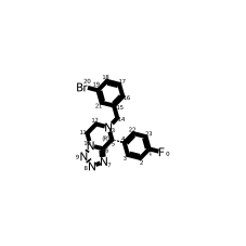 Fc1ccc([C@@H]2c3nnnn3CCN2Cc2cccc(Br)c2)cc1